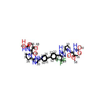 COC(=O)N[C@H](C(=O)N1CCC[C@H]1c1nc(C(F)(F)F)c(-c2ccc(-c3ccc(-c4cnc([C@@H]5CCCN5C(=O)[C@@H](NC(=O)O)[C@@H](C)OC)[nH]4)cc3)cc2)[nH]1)C(C)OC